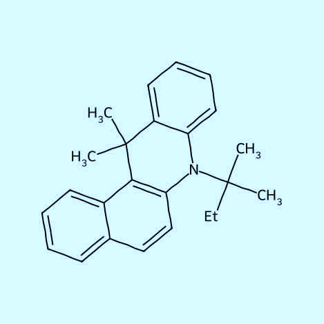 CCC(C)(C)N1c2ccccc2C(C)(C)c2c1ccc1ccccc21